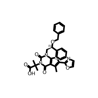 Cc1c(-c2ncco2)sc2c1c(=O)n(C(C)(C)C(=O)O)c(=O)n2C[C@@H](OCc1ccccc1)c1ccccc1